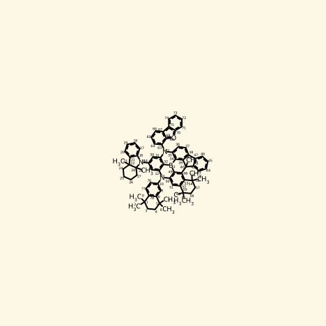 CC1(C)CCC(C)(C)c2cc(N3c4cc(N5c6ccccc6C6(C)CCCCC56C)cc5c4B4c6c(ccc7c6C(C)(c6ccccc6-7)c6c4c3cc3c6C(C)(C)CCC3(C)C)N5c3cccc4c3oc3ccccc34)ccc21